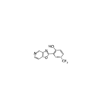 Oc1ccc(C(F)(F)F)cc1-c1nc2cnccc2o1